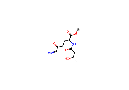 CC(C)OC(=O)[C@H](CCC(=O)C=N)NC(=O)C[C@H](C)O